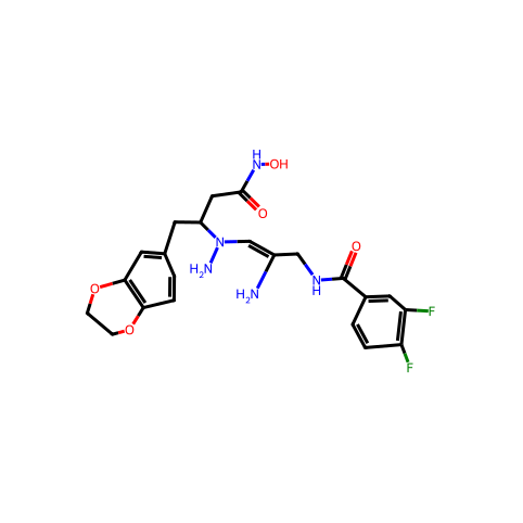 N/C(=C\N(N)C(CC(=O)NO)Cc1ccc2c(c1)OCCO2)CNC(=O)c1ccc(F)c(F)c1